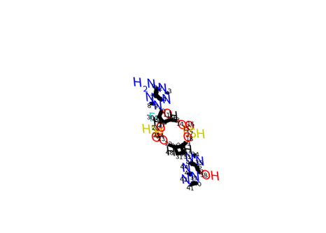 Nc1ncnc2c1ncn2[C@@H]1O[C@@H]2COP(=O)(S)OC[C@@H]3[C@@H](COP(=O)(S)O[C@H]2[C@H]1F)C[C@H]3n1cnc2c(O)n3ccnc3nc21